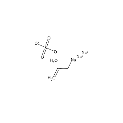 C=C[CH2][Na].O.O=S(=O)([O-])[O-].[Na+].[Na+]